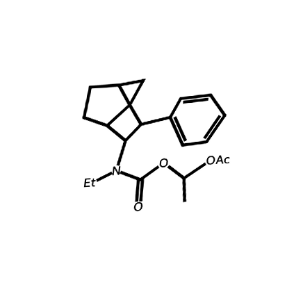 CCN(C(=O)OC(C)OC(C)=O)C1C2CCC3CC32C1c1ccccc1